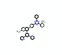 CC1C=Cc2cc(C3C=CC(c4nc(C5=CCCCC5C)nc(-c5ccccc5)n4)=CC3)cc(-c3cc(-c4ccccn4)cc(-c4ccccn4)c3)c2C1